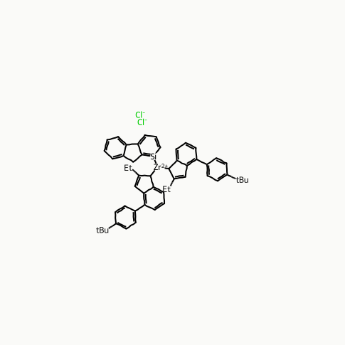 CCC1=Cc2c(-c3ccc(C(C)(C)C)cc3)cccc2[CH]1[Zr+2]([CH]1C(CC)=Cc2c(-c3ccc(C(C)(C)C)cc3)cccc21)[si]1cccc2c1Cc1ccccc1-2.[Cl-].[Cl-]